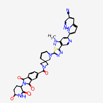 CNc1cc(-c2ccc3cc(C#N)cnn23)ncc1-c1nnc(N2CCCC3(CN(C(=O)c4ccc5c(c4)C(=O)N(C4CCC(=O)NC4=O)C5=O)C3)C2)s1